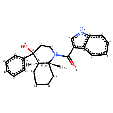 O=C(c1c[nH]c2ccccc12)N1CC[C@@](O)(c2ccccc2)[C@@H]2CCCC[C@H]21